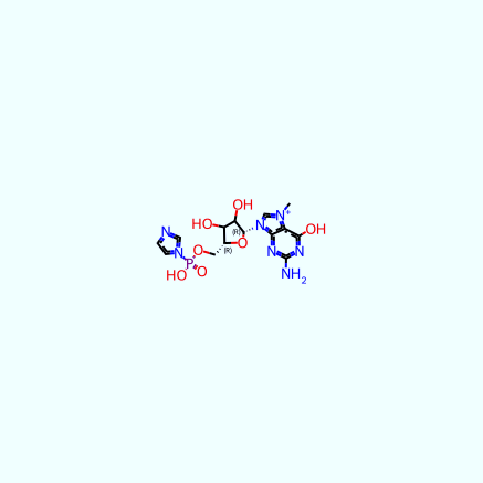 C[n+]1cn([C@@H]2O[C@H](COP(=O)(O)n3ccnc3)C(O)C2O)c2nc(N)nc(O)c21